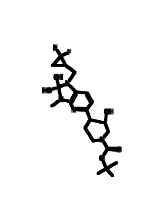 CN1c2nc(C3CCN(C(=O)OC(C)(C)C)CC3O)ccc2N(CC2CC2(F)F)S1(O)O